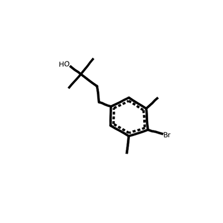 Cc1cc(CCC(C)(C)O)cc(C)c1Br